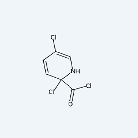 O=C(Cl)C1(Cl)C=CC(Cl)=CN1